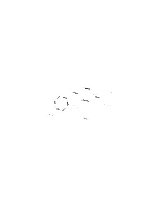 C=CC[Si]1(C)C2=CC(=[N+]3CCOCC3)C=CC2=Nc2ccc(N(C)C)cc21